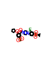 CS(=O)(=O)c1ccc(OC2CCCC2)c(C(=O)N2CCN(c3ccc(S(=O)(=O)C4CC4)cc3F)CC2)c1